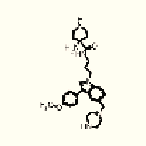 NC1(C(=O)NCCCn2cc(-c3ccc(OC(F)(F)F)cc3)c3cc(CN4CCNCC4)ccc32)CCNCC1